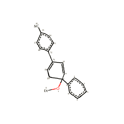 CCOC1(c2ccccc2)C=CC(c2ccc(C#N)cc2)=CC1